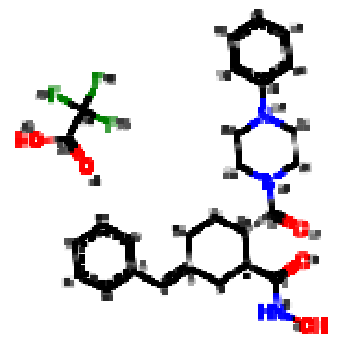 O=C(NO)[C@H]1C/C(=C/c2ccccc2)CC[C@@H]1C(=O)N1CCN(c2ccccc2)CC1.O=C(O)C(F)(F)F